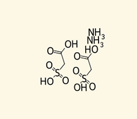 N.N.O=C(O)CS(=O)(=O)O.O=C(O)CS(=O)(=O)O